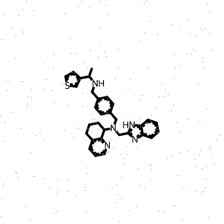 CC(NCc1ccc(CN(Cc2nc3ccccc3[nH]2)C2CCCc3cccnc32)cc1)c1ccsc1